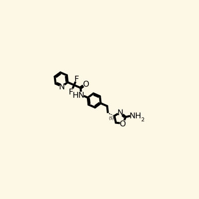 NC1=N[C@@H](CCc2ccc(NC(=O)C(F)(F)c3ccccn3)cc2)CO1